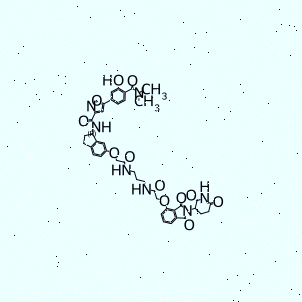 CN(C)C(=O)c1ccc(-c2cc(C(=O)N[C@@H]3CCc4ccc(OCC(=O)NCCCNC(=O)COc5cccc6c5C(=O)N(C5CCC(=O)NC5=O)C6=O)cc43)no2)cc1O